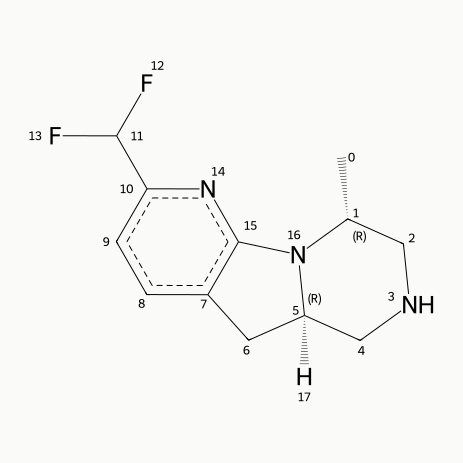 C[C@@H]1CNC[C@H]2Cc3ccc(C(F)F)nc3N21